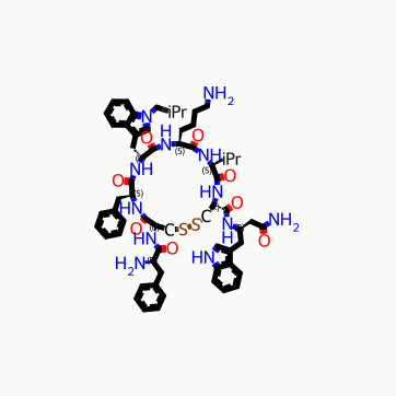 CC(C)Cn1cc(C[C@H]2NC(=O)[C@H](Cc3ccccc3)NC(=O)[C@@H](NC(=O)[C@H](N)Cc3ccccc3)CSSC[C@@H](C(=O)N[C@@H](CC(N)=O)Cc3c[nH]c4ccccc34)NC(=O)[C@H](C(C)C)NC(=O)[C@H](CCCCN)NC2=O)c2ccccc21